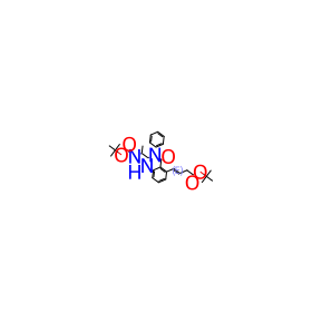 CC(NC(=O)OC(C)(C)C)c1nc2cccc(/C=C/CC(=O)OC(C)(C)C)c2c(=O)n1-c1ccccc1